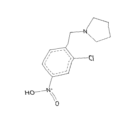 O=[N+](O)c1ccc(CN2CCCC2)c(Cl)c1